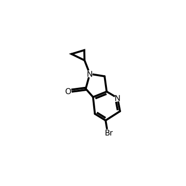 O=C1c2cc(Br)cnc2CN1C1CC1